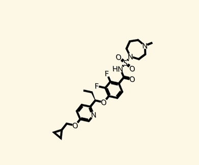 CC[C@@H](Oc1ccc(C(=O)NS(=O)(=O)N2CCCN(C)CC2)c(F)c1F)c1ccc(OCC2CC2)cn1